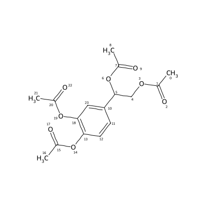 CC(=O)OCC(OC(C)=O)c1ccc(OC(C)=O)c(OC(C)=O)c1